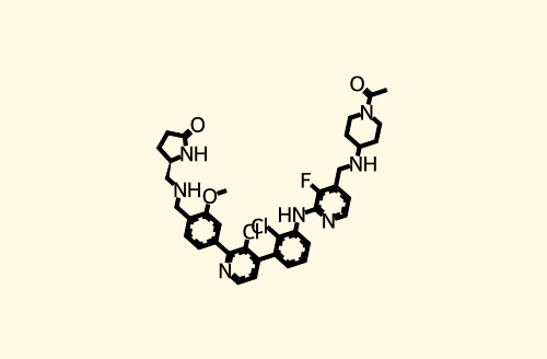 COc1cc(-c2nccc(-c3cccc(Nc4nccc(CNC5CCN(C(C)=O)CC5)c4F)c3Cl)c2Cl)ccc1CNC[C@H]1CCC(=O)N1